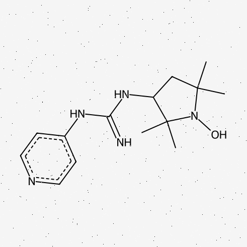 CC1(C)CC(NC(=N)Nc2ccncc2)C(C)(C)N1O